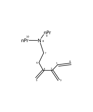 C=CC(=C)C(=C)CCN(CCC)CCC